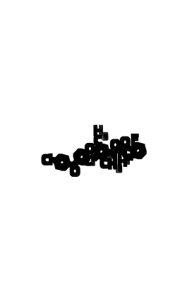 Cc1cc(NC(=O)NC(=O)c2c(F)cccc2F)c(C)c(Cl)c1Oc1ccc(C(=O)c2ccc(Cl)cc2)cc1